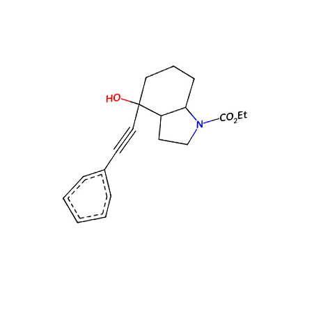 CCOC(=O)N1CCC2C1CCCC2(O)C#Cc1ccccc1